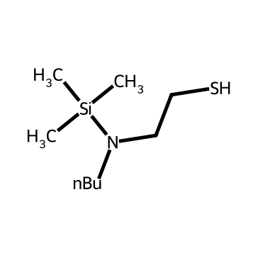 CCCCN(CCS)[Si](C)(C)C